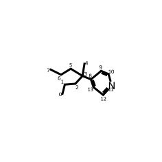 CCCC(C)(CCC)c1ccncc1